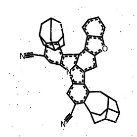 N#Cc1cc2c(c3c1C1CC4CC5CC3CC45C1)c1cc3oc4ccccc4c3c3c4c5c(c(C#N)cc4n2c13)C1CC2CC(C1)CC5C2